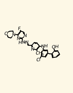 Cc1nc(/C=N/Nc2ncc(F)c(N3CCOCC3)n2)ccc1Nc1cc(Cl)cc(-c2ccccc2O)c1